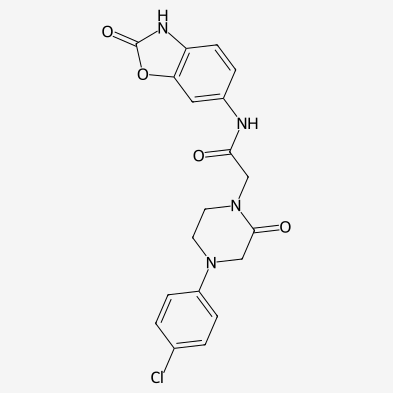 O=C(CN1CCN(c2ccc(Cl)cc2)CC1=O)Nc1ccc2[nH]c(=O)oc2c1